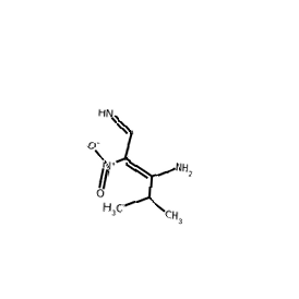 CC(C)/C(N)=C(/C=N)[N+](=O)[O-]